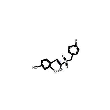 N#C/C(=C\c1ccc(O)cc1O)S(=O)(=O)Cc1ccc(F)cc1